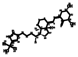 C=C1/C(=C\C=C2CCC[C@]3(C)[C@@H]([C@H](C)CCCn4cc(C(O)(CC)CC)nn4)CC[C@@H]23)C[C@H](O)C[C@H]1O